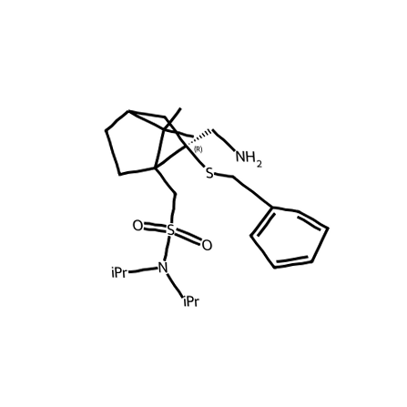 CC(C)N(C(C)C)S(=O)(=O)CC12CCC(C[C@@]1(CN)SCc1ccccc1)C2(C)C